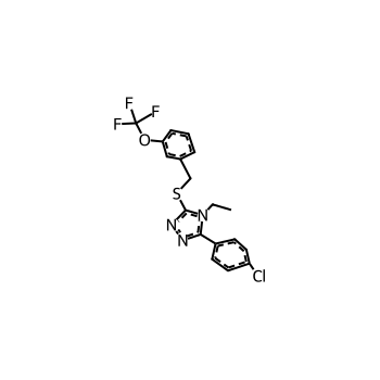 CCn1c(SCc2cccc(OC(F)(F)F)c2)nnc1-c1ccc(Cl)cc1